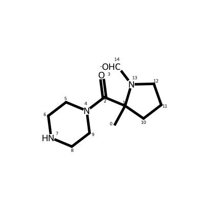 CC1(C(=O)N2CCNCC2)CCCN1[C]=O